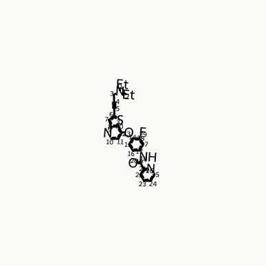 CCN(CC)CC#Cc1cc2nccc(Oc3ccc(NC(=O)c4ccccn4)cc3F)c2s1